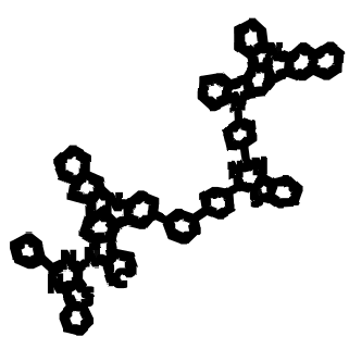 c1ccc(-c2nc(-n3c4ccccc4c4c5c6cc(-c7cccc(-c8ccc(-c9nc(-c%10ccc(-n%11c%12ccccc%12c%12c%13c%14ccccc%14n%14c%15cc%16ccccc%16cc%15c(cc%12%11)c%13%14)cc%10)nc%10c9sc9ccccc9%10)cc8)c7)ccc6n6c7cc8ccccc8cc7c(cc43)c56)c3sc4ccccc4c3n2)cc1